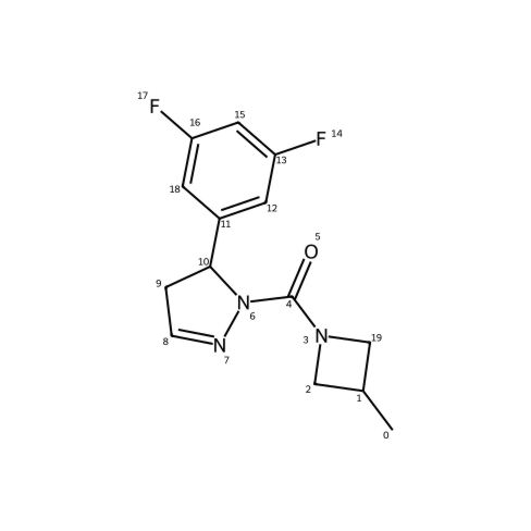 CC1CN(C(=O)N2N=CCC2c2cc(F)cc(F)c2)C1